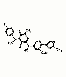 COc1cc(C(O)c2cn(C)c(=O)n(C(C)c3ccc(F)cc3)c2=O)ccc1-n1cnc(C)c1